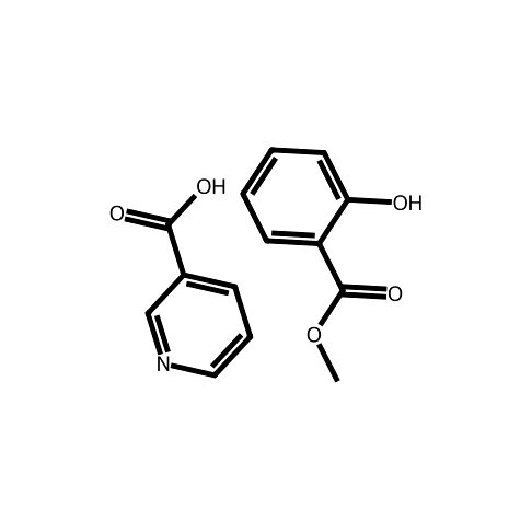 COC(=O)c1ccccc1O.O=C(O)c1cccnc1